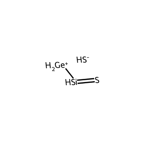 S=[SiH][GeH2+].[SH-]